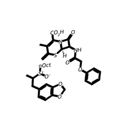 C=C1S[C@@H]2C(NC(=O)COc3ccccc3)C(=O)N2C(C(=O)O)=C1C.CCCCCCCC[S+]([O-])C(C)Cc1ccc2c(c1)OCO2